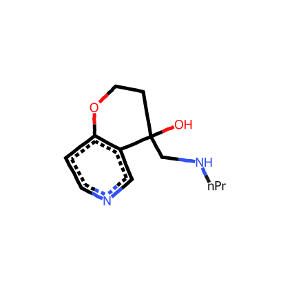 CCCNCC1(O)CCOc2ccncc21